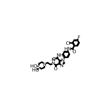 NC(=O)c1c(C(=O)NCCN2CCS(O)(O)CC2)ncn1-c1ccc(NC(=O)c2ccc(F)cc2Cl)cc1